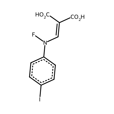 O=C(O)C(=CN(F)c1ccc(I)cc1)C(=O)O